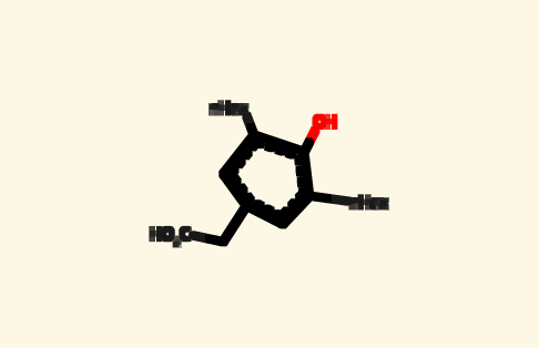 CCCCCCc1cc(CC(=O)O)cc(CCCCCC)c1O